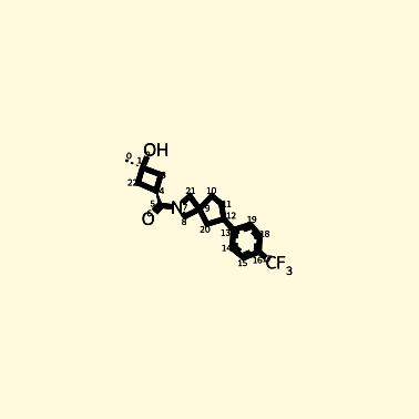 C[C@]1(O)C[C@@H](C(=O)N2CC3(CCC(c4ccc(C(F)(F)F)cc4)C3)C2)C1